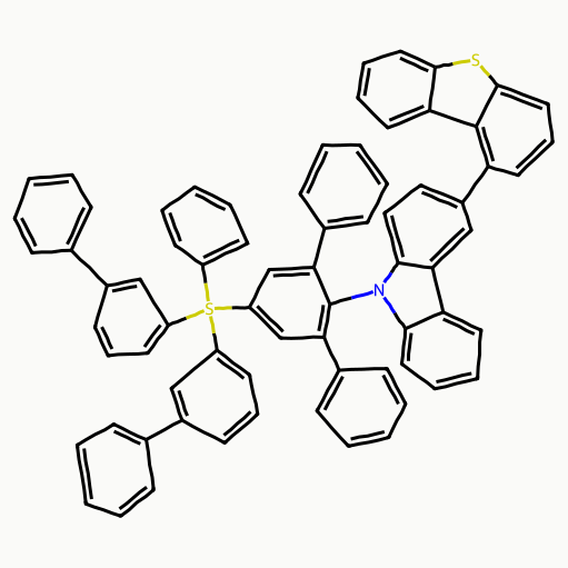 c1ccc(-c2cccc(S(c3ccccc3)(c3cccc(-c4ccccc4)c3)c3cc(-c4ccccc4)c(-n4c5ccccc5c5cc(-c6cccc7sc8ccccc8c67)ccc54)c(-c4ccccc4)c3)c2)cc1